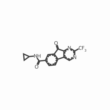 O=C(NC1CC1)c1ccc2c(c1)C(=O)c1nc(C(F)(F)F)ncc1-2